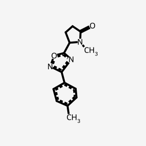 Cc1ccc(-c2noc(C3CCC(=O)N3C)n2)cc1